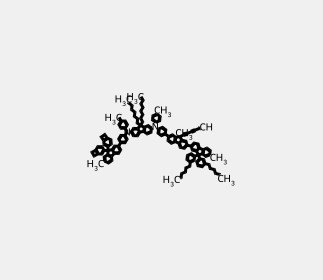 C#CC#CC#CC1(C)c2cc(-c3ccc(N(c4ccc(C)cc4)c4ccc5c(c4)C(CCCCCCCC)(CCCCCCCC)c4cc(N(c6ccc(C)cc6)c6ccc(-c7ccc8c(c7)C(c7ccc9c(c7)CC9)(c7ccc9c(c7)CC9)c7cc(C)ccc7-8)cc6)ccc4-5)cc3)ccc2-c2ccc(-c3ccc4c(c3)C(c3cccc(CCCCCC)c3)(c3cccc(CCCCCC)c3)c3cc(C)ccc3-4)cc21